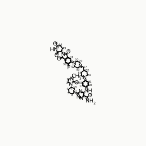 CN1CCN([C@@H]2CCCN(c3nnc(C(N)=O)c(Nc4ccc(N5CCC(CN6CCN(c7cc8c(cc7F)C(=O)N(C7CCC(=O)NC7=O)C8=O)CC6)CC5)cc4)n3)C2)C1=O